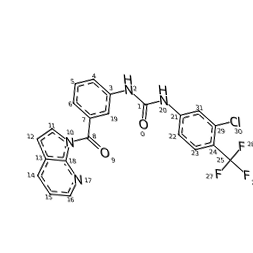 O=C(Nc1cccc(C(=O)n2ccc3cccnc32)c1)Nc1ccc(C(F)(F)F)c(Cl)c1